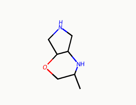 CC1COC2CNCC2N1